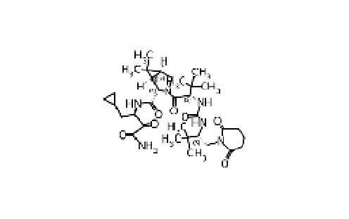 CC(C)(C)[C@H](NC(=O)N[C@H](CN1C(=O)CCCC1=O)C(C)(C)C)C(=O)N1C[C@H]2[C@@H]([C@H]1C(=O)NC(CC1CC1)C(=O)C(N)=O)C2(C)C